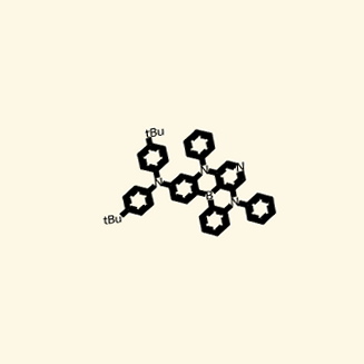 CC(C)(C)c1ccc(N(c2ccc(C(C)(C)C)cc2)c2ccc3c(c2)N(c2ccccc2)c2cncc4c2B3c2ccccc2N4c2ccccc2)cc1